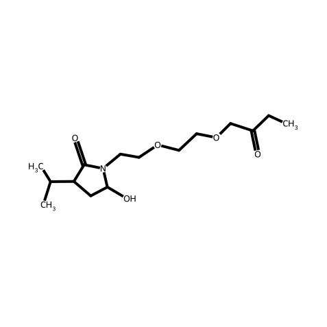 CCC(=O)COCCOCCN1C(=O)C(C(C)C)CC1O